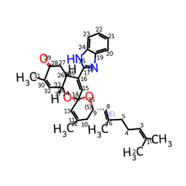 CC(C)=CCC/C(C)=C/[C@@H]1CC(C)=C[C@]2(C=C(c3nc4ccccc4[nH]3)[C@H]3CC(=O)C(C)=C[C@H]3O2)O1